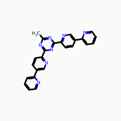 Cc1nc(-c2ccc(-c3ccccn3)cn2)nc(-c2ccc(-c3ccccn3)cn2)n1